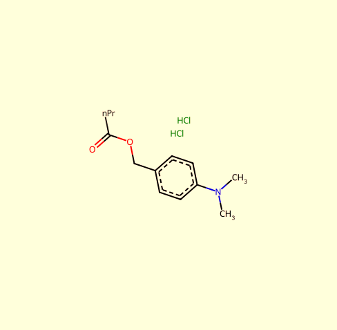 CCCC(=O)OCc1ccc(N(C)C)cc1.Cl.Cl